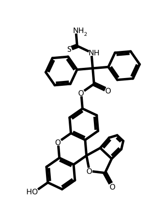 NC(=S)NC(C(=O)Oc1ccc2c(c1)Oc1cc(O)ccc1C21OC(=O)c2ccccc21)(c1ccccc1)c1ccccc1